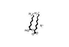 CCCCCCCC(=O)O.CCCCCCCCCC(=O)[O-].[K+]